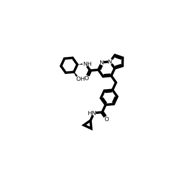 O=C(NC1CC1)c1ccc(Cc2cc(C(=O)N[C@H]3CCCC[C@@H]3O)nn3cccc23)cc1